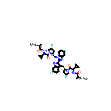 CN[C@@H](C)C(=O)NC(C(=O)N1C[C@@H](F)C[C@H]1Cc1c(-c2nc3cc(F)ccc3n2C[C@@H]2C[C@H](F)CN2C(=O)C(NC(=O)[C@H](C)NC)C2CC2)[nH]c2cc(F)ccc12)C1CC1